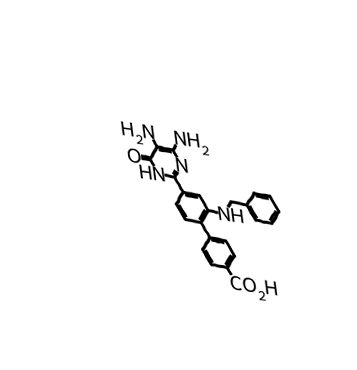 Nc1nc(-c2ccc(-c3ccc(C(=O)O)cc3)c(NCc3ccccc3)c2)[nH]c(=O)c1N